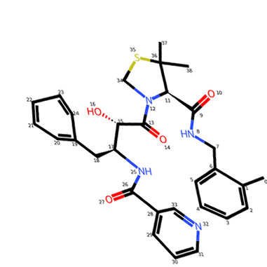 Cc1ccccc1CNC(=O)[C@H]1N(C(=O)[C@@H](O)[C@H](Cc2ccccc2)NC(=O)c2cccnc2)CSC1(C)C